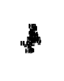 C=NC(/C=C/c1cc(C)c(CN2CC3(CC(C(=O)O)C3)C2)cc1Cl)=C(C#N)\C(=C/C)c1cccc(NC(=O)C2=CC=C(CN3CCC(O)C3)CC=N2)c1C